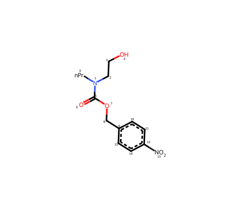 CCCN(CCO)C(=O)OCc1ccc([N+](=O)[O-])cc1